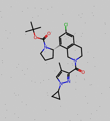 Cc1cn(C2CC2)nc1C(=O)N1CCc2cc(Cl)cc([C@@H]3CCCN3C(=O)OC(C)(C)C)c2C1